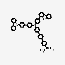 C=C(C)c1ccc(-c2ccc(-c3ccc(N(c4ccc(-c5ccc(-n6c7ccccc7c7ccccc76)cc5)cc4)c4ccc(-c5cccc6c5oc5ccccc56)cc4)cc3)cc2)cc1